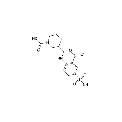 NS(=O)(=O)c1ccc(NCC2CCCN(C(=O)O)C2)c([N+](=O)[O-])c1